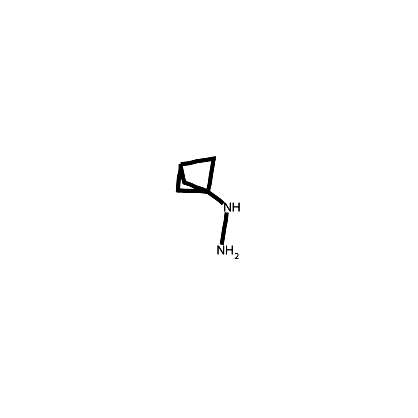 NNC12CC(C1)C2